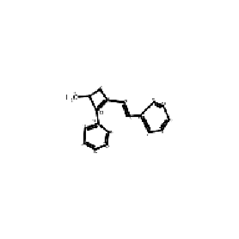 CC1CC(C=Cc2ccccc2)=C1c1ccccc1